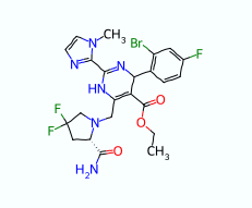 CCOC(=O)C1=C(CN2CC(F)(F)C[C@H]2C(N)=O)NC(c2nccn2C)=NC1c1ccc(F)cc1Br